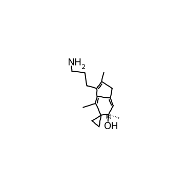 CC1=C(CCCN)C2=C(C)C3(CC3)[C@](C)(O)C=C2C1